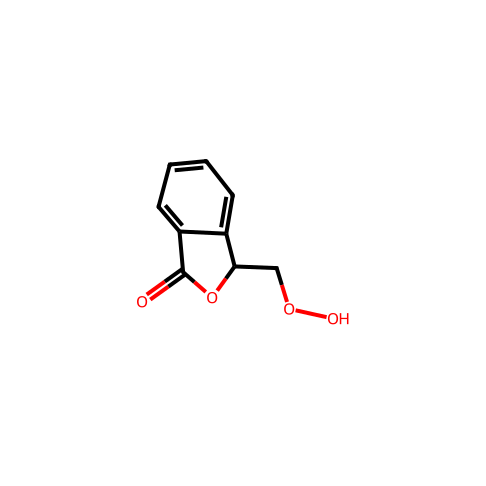 O=C1OC(COO)c2ccccc21